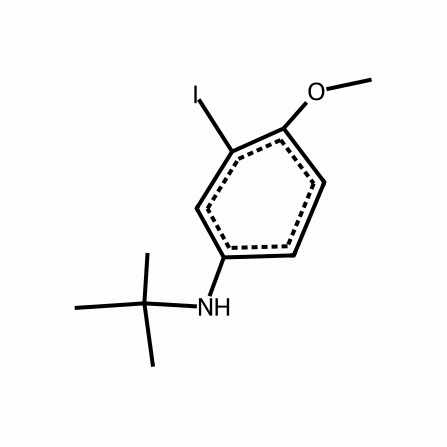 COc1ccc(NC(C)(C)C)cc1I